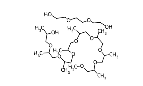 COCC(C)OCC(C)OCC(C)OCC(C)OCC(C)OCC(C)OCC(C)OCC(C)O.OCCOCCOCCO